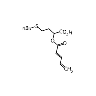 C=CC=CC(=O)OC(CCSCCCC)C(=O)O